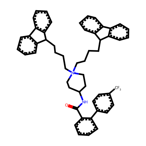 O=C(NC1CC[N+](CCCCC2c3ccccc3-c3ccccc32)(CCCCC2c3ccccc3-c3ccccc32)CC1)c1ccccc1-c1ccc(C(F)(F)F)cc1